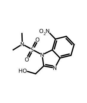 CN(C)S(=O)(=O)n1c(CO)nc2cccc([N+](=O)[O-])c21